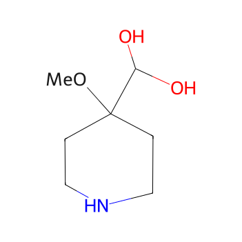 COC1(C(O)O)CCNCC1